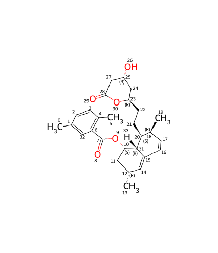 Cc1ccc(C)c(C(=O)O[C@H]2C[C@@H](C)C=C3C=C[C@H](C)[C@H](CC[C@@H]4C[C@@H](O)CC(=O)O4)[C@H]32)c1